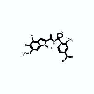 COc1cc2c(cc(C(=O)NC3(c4ccc(C(=O)O)cc4C)COC3)n2C)c(Cl)c1Cl